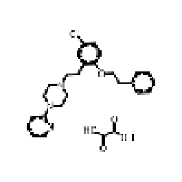 Clc1ccc(OCCc2ccccc2)c(CCN2CCN(c3ccccn3)CC2)c1.O=C(O)C(=O)O